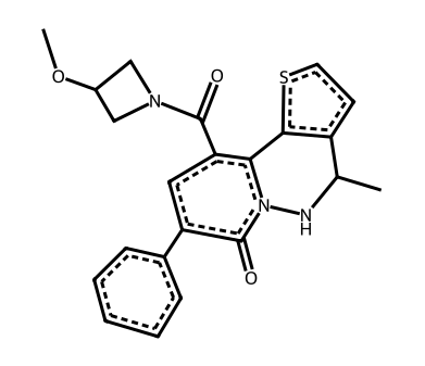 COC1CN(C(=O)c2cc(-c3ccccc3)c(=O)n3c2-c2sccc2C(C)N3)C1